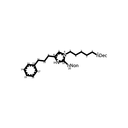 CCCCCCCCCCCCCCCn1cc(CCCc2ccccc2)nc1CCCCCCCCC